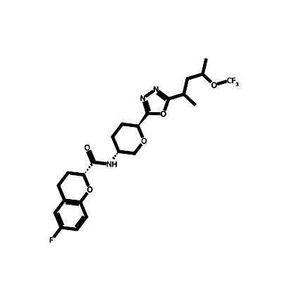 CC(CC(C)c1nnc([C@@H]2CC[C@@H](NC(=O)[C@H]3CCc4cc(F)ccc4O3)CO2)o1)OC(F)(F)F